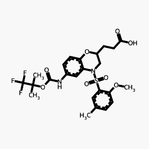 COc1ccc(C)cc1S(=O)(=O)N1CC(CCC(=O)O)Oc2ccc(NC(=O)OC(C)(C)C(F)(F)F)cc21